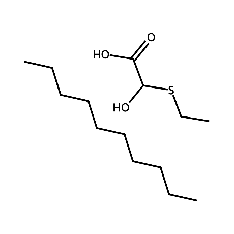 CCCCCCCCCC.CCSC(O)C(=O)O